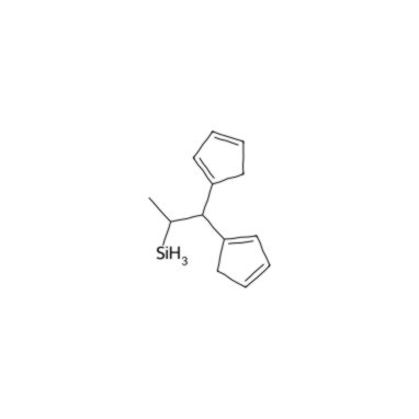 CC([SiH3])C(C1=CC=CC1)C1=CC=CC1